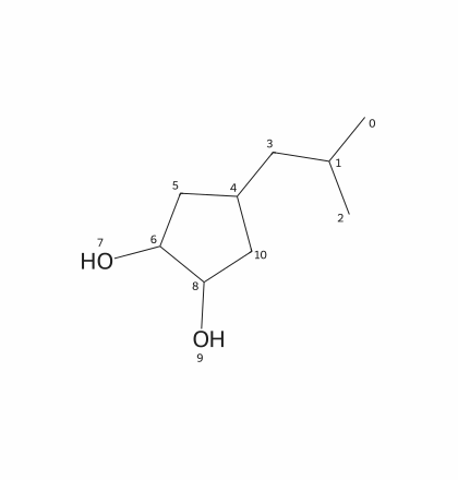 CC(C)CC1CC(O)C(O)C1